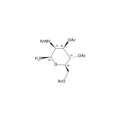 CC(=O)N[C@H]1[C@@H](OC(C)=O)[C@H](OC(C)=O)[C@@H](COC(C)=O)O[C@H]1N